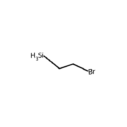 [SiH3]CCBr